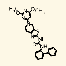 COc1cc(N2CCc3nc(NC(=O)Nc4ccccc4-c4ccccc4)sc3C2)nc(OC)n1